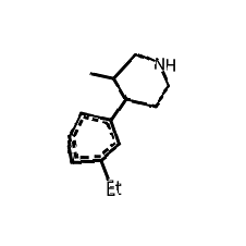 CCc1cccc(C2CCNCC2C)c1